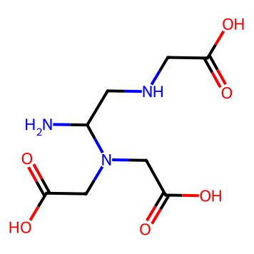 NC(CNCC(=O)O)N(CC(=O)O)CC(=O)O